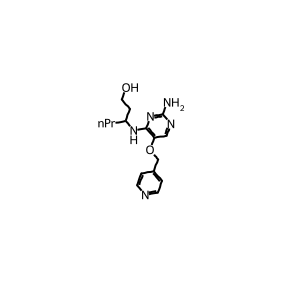 CCCC(CCO)Nc1nc(N)ncc1OCc1ccncc1